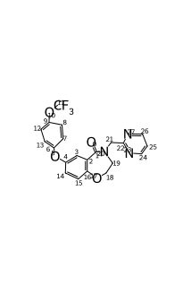 O=C1c2cc(Oc3ccc(OC(F)(F)F)cc3)ccc2OCCN1Cc1ncccn1